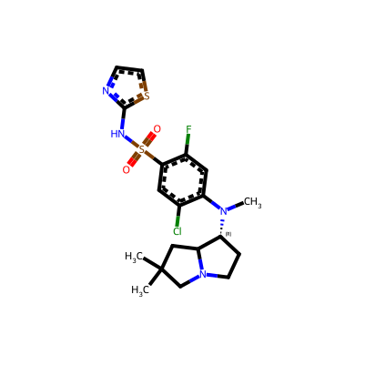 CN(c1cc(F)c(S(=O)(=O)Nc2nccs2)cc1Cl)[C@@H]1CCN2CC(C)(C)CC12